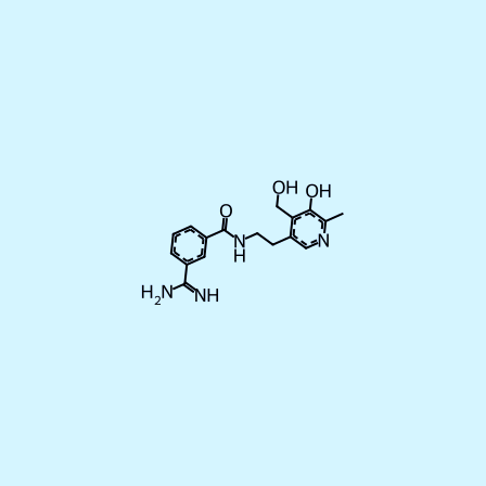 Cc1ncc(CCNC(=O)c2cccc(C(=N)N)c2)c(CO)c1O